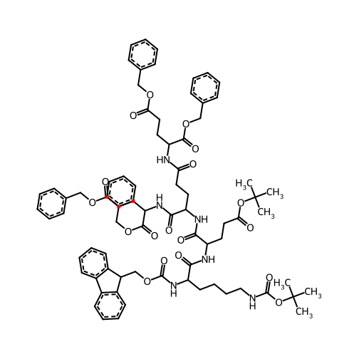 CC(C)(C)OC(=O)CCC(NC(=O)C(CCCCNC(=O)OC(C)(C)C)NC(=O)OCC1c2ccccc2-c2ccccc21)C(=O)NC(CCC(=O)NC(CCC(=O)OCc1ccccc1)C(=O)OCc1ccccc1)C(=O)NC(CCC(=O)OCc1ccccc1)C(=O)OCc1ccccc1